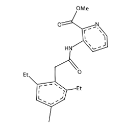 CCc1cc(C)cc(CC)c1CC(=O)Nc1cccnc1C(=O)OC